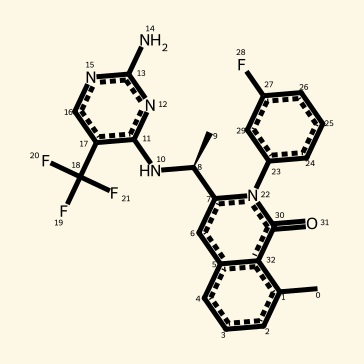 Cc1cccc2cc([C@H](C)Nc3nc(N)ncc3C(F)(F)F)n(-c3cccc(F)c3)c(=O)c12